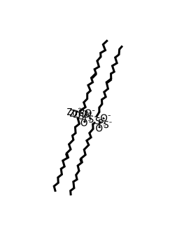 CCCCCCCCC=CCCCCCCCCS(CCCCCCCCC=CCCCCCCCC)=P([O-])([O-])[S-].CCCCCCCCC=CCCCCCCCCS(CCCCCCCCC=CCCCCCCCC)=P([O-])([O-])[S-].[Zn+2].[Zn+2].[Zn+2]